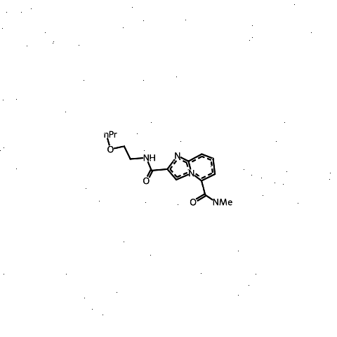 CCCOCCNC(=O)c1cn2c(C(=O)NC)cccc2n1